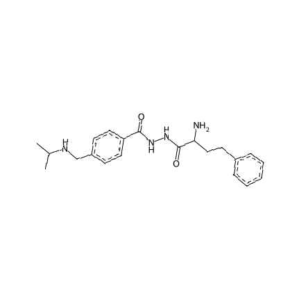 CC(C)NCc1ccc(C(=O)NNC(=O)C(N)CCc2ccccc2)cc1